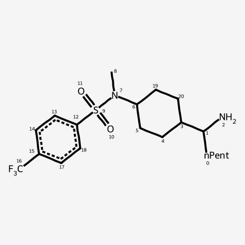 CCCCCC(N)C1CCC(N(C)S(=O)(=O)c2ccc(C(F)(F)F)cc2)CC1